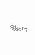 O=C(NSc1ccc(B(O)O)cc1)Nc1c2c(cc3c1CCC3)CCC2